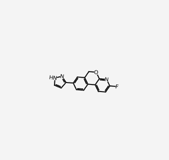 Fc1ccc2c(n1)OCc1cc(-c3cc[nH]n3)ccc1-2